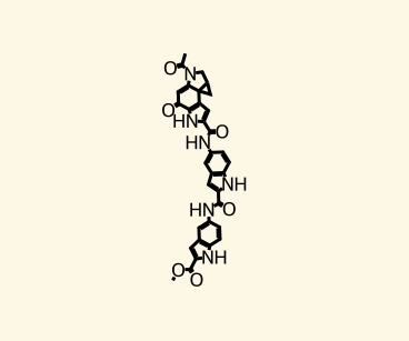 COC(=O)c1cc2cc(NC(=O)c3cc4cc(NC(=O)c5cc6c([nH]5)C(=O)C=C5N(C(C)=O)CC7CC567)ccc4[nH]3)ccc2[nH]1